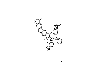 CC1=CC(C)(C)c2cc3c(cc21)-c1cc2c(cc1C3)C(C)(C)[C]([Zr+2]([C]1=C(C)C([Si](C)(C)C)=CC1C)=[C](c1ccccc1)c1ccccc1)=C2C.[Cl-].[Cl-]